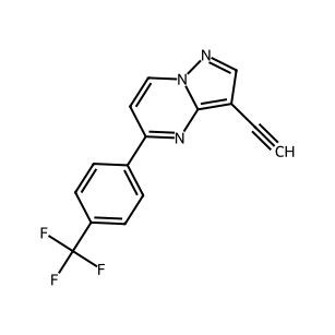 C#Cc1cnn2ccc(-c3ccc(C(F)(F)F)cc3)nc12